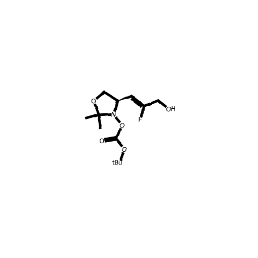 CC(C)(C)OC(=O)ON1[C@H](C=C(F)CO)COC1(C)C